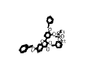 CCOP(=O)(COc1cc(-c2oc3cc(OCc4ccccc4)ccc3c(=O)c2OCc2ccccc2)ccc1OCc1ccccc1)OCC